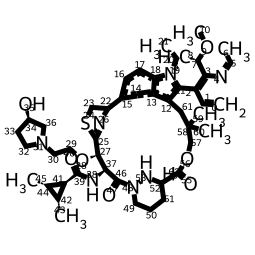 C=C/C(=C(\N=C/C)[C@H](C)OC)c1c2c3cc(ccc3n1CC)C1CSC(=N1)[C@@H](OCCN1CC[C@@H](O)C1)[C@H](NC(=O)[C@H]1[C@H](C)[C@@H]1C)C(=O)N1CCC[C@H](N1)C(=O)OCC(C)(C)C2